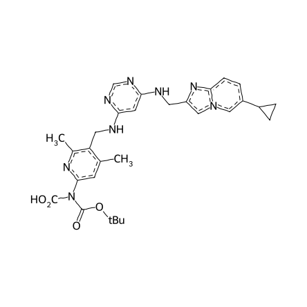 Cc1cc(N(C(=O)O)C(=O)OC(C)(C)C)nc(C)c1CNc1cc(NCc2cn3cc(C4CC4)ccc3n2)ncn1